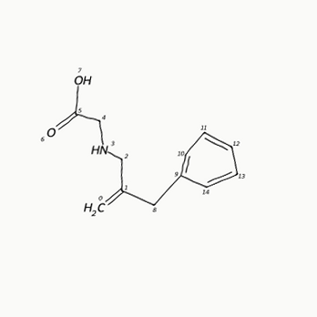 C=C(CNCC(=O)O)Cc1ccccc1